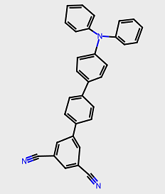 N#Cc1cc(C#N)cc(-c2ccc(-c3ccc(N(c4ccccc4)c4ccccc4)cc3)cc2)c1